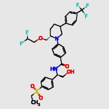 CCS(=O)(=O)c1ccc([C@H](CO)NC(=O)c2ccc(N3CC(c4ccc(C(F)(F)F)cc4)CC[C@H]3COCC(F)F)cc2)cc1